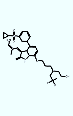 C=C1NC2C(OCCCN(CCO)CC(F)(F)F)=CC=C(C3C=CC=C(S(=O)(=O)C4CC4)C3)C2/C1=C/C(C)=C\N